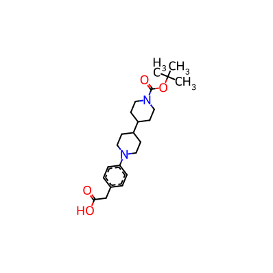 CC(C)(C)OC(=O)N1CCC(C2CCN(c3ccc(CC(=O)O)cc3)CC2)CC1